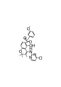 COc1cccc(S(=O)(=O)c2ccc3c(c2O)C(Nc2nccc(Cl)n2)=C(C)C(C)(C)O3)c1